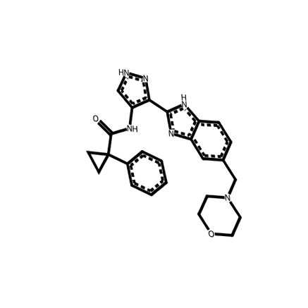 O=C(Nc1c[nH]nc1-c1nc2cc(CN3CCOCC3)ccc2[nH]1)C1(c2ccccc2)CC1